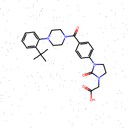 CC(C)(C)c1ccccc1N1CCN(C(=O)c2ccc(N3CCN(CC(=O)O)C3=O)cc2)CC1